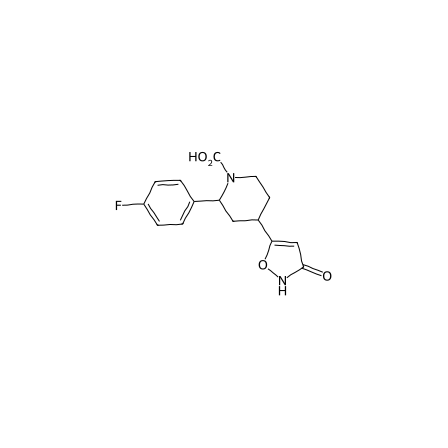 O=C(O)N1CCC(c2cc(=O)[nH]o2)CC1c1ccc(F)cc1